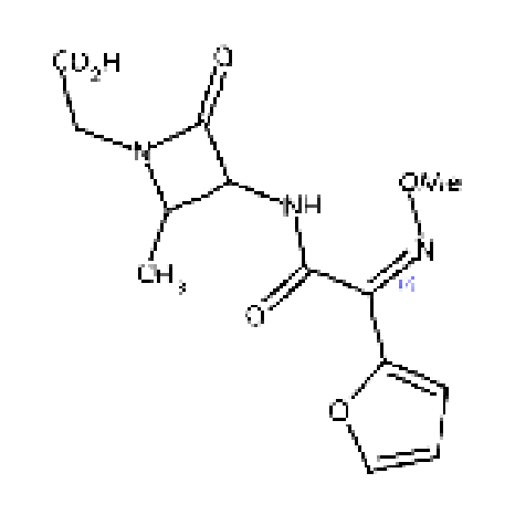 CO/N=C(\C(=O)NC1C(=O)N(CC(=O)O)C1C)c1ccco1